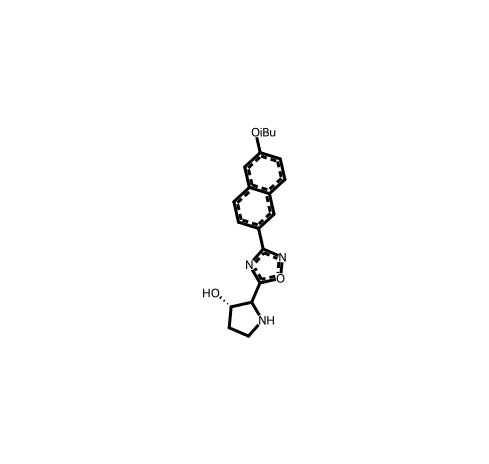 CC(C)COc1ccc2cc(-c3noc(C4NCC[C@@H]4O)n3)ccc2c1